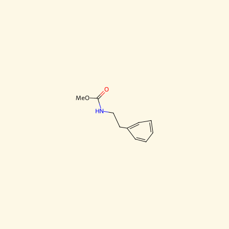 [CH2]OC(=O)NCCc1ccccc1